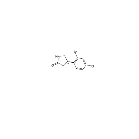 O=C1C[C@H](c2ccc(Cl)cc2Br)CN1